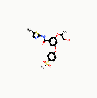 Cc1cnc(NC(=O)c2cc(Oc3ccc(S(C)(=O)=O)cc3)cc(OC(C)CO)c2)s1